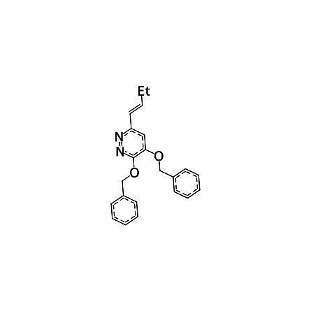 CC/C=C/c1cc(OCc2ccccc2)c(OCc2ccccc2)nn1